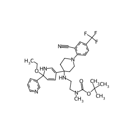 CCOC1(c2cccnc2)C=CC(C2(NCCN(C)C(=O)OC(C)(C)C)CCN(c3ccc(C(F)(F)F)cc3C#N)CC2)=CN1